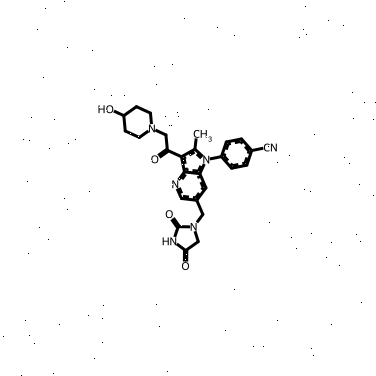 Cc1c(C(=O)CN2CCC(O)CC2)c2ncc(CN3CC(=O)NC3=O)cc2n1-c1ccc(C#N)cc1